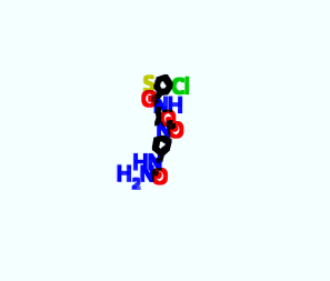 NC(=O)NCc1ccc(N2CC(CNC(=O)C3=CC(Cl)=CCC3=S)OC2=O)cc1